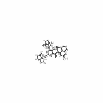 C#Cc1cccc2cc(O)cc(-c3ncc4c(N5C[C@H]6CC[C@@H](C5)N6)nc(OCC56CCCN5CCC6=C)nc4c3F)c12